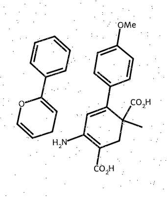 C1=COC(c2ccccc2)=CC1.COc1ccc(C2=CC(N)=C(C(=O)O)CC2(C)C(=O)O)cc1